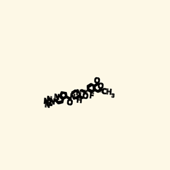 C[C@H]1Cc2c(ccc([C@H]3CN4CCN(C(=O)C5CCc6nc(-n7cnnn7)ccc65)C[C@H]4CO3)c2F)C(=O)O1